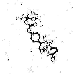 CC(C)(C)OC(=O)ON1CCC(C(CO)NS(=O)(=O)c2ccc(Cl)s2)CC1